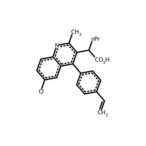 C=Cc1ccc(-c2c(C(CCC)C(=O)O)c(C)nc3ccc(Cl)cc23)cc1